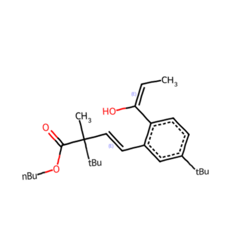 C/C=C(/O)c1ccc(C(C)(C)C)cc1/C=C/C(C)(C(=O)OCCCC)C(C)(C)C